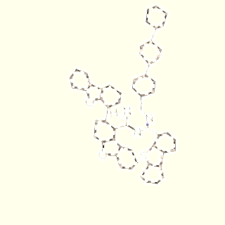 N/C(=N\C(=N/Cc1ccc(-c2ccc(-c3ccccc3)cc2)cc1)c1cccc2c1sc1ccccc12)c1c(-c2cccc3c2oc2ccccc23)ccc2oc3ccccc3c12